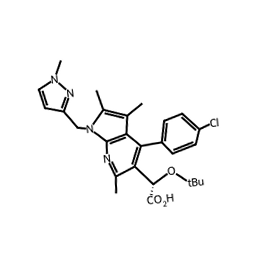 Cc1nc2c(c(C)c(C)n2Cc2ccn(C)n2)c(-c2ccc(Cl)cc2)c1[C@H](OC(C)(C)C)C(=O)O